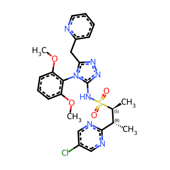 COc1cccc(OC)c1-n1c(Cc2ccccn2)nnc1NS(=O)(=O)[C@@H](C)[C@H](C)c1ncc(Cl)cn1